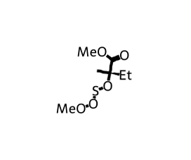 CC[C@](C)(OSOOC)C(=O)OC